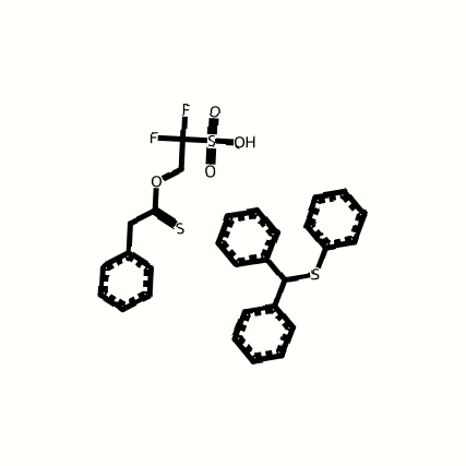 O=S(=O)(O)C(F)(F)COC(=S)Cc1ccccc1.c1ccc(SC(c2ccccc2)c2ccccc2)cc1